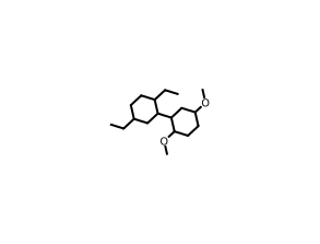 CCC1CCC(CC)C(C2CC(OC)CCC2OC)C1